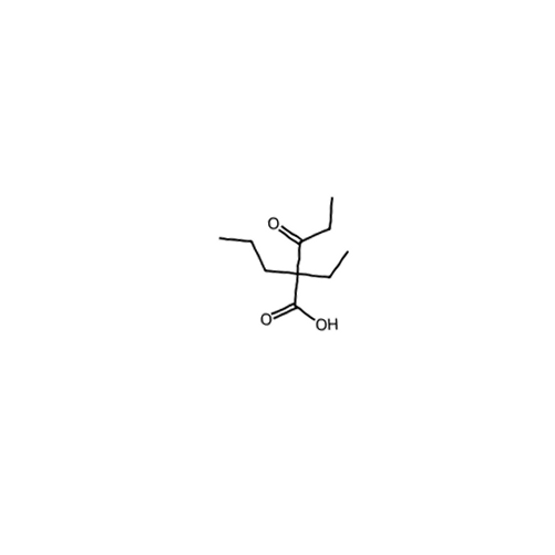 CCCC(CC)(C(=O)O)C(=O)CC